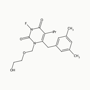 Cc1cc(C)cc(Cc2c(C(C)C)c(=O)n(F)c(=O)n2COCCO)c1